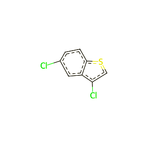 Clc1ccc2scc(Cl)c2c1